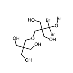 OCC(CO)(CO)COCC(CO)(CO)C(Br)(Br)OBr